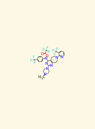 CN1CCN(c2nc3c(c(N(OC(=O)C(F)(F)F)c4ccc(C(F)(F)F)cc4)n2)CCN(c2ncccc2C(F)(F)F)CC3)CC1